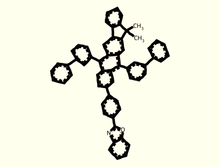 CC1(C)c2ccccc2-c2cc3c(-c4cccc(-c5ccccc5)c4)c4ccc(-c5ccc(-c6nc7ccccc7o6)cc5)cc4c(-c4cccc(-c5ccccc5)c4)c3cc21